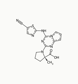 C[C@@]1(C(=O)O)CCCN1c1nc(Nc2ncc(C#N)s2)n2cccc2n1